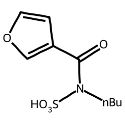 CCCCN(C(=O)c1ccoc1)S(=O)(=O)O